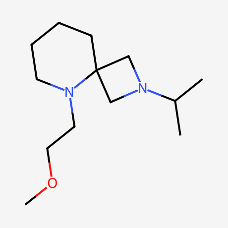 COCCN1CCCCC12CN(C(C)C)C2